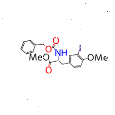 COC(=O)C(Cc1ccc(OC)c(I)c1)NC(=O)OCc1ccccc1